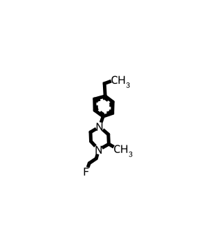 CCc1ccc(N2CCN(CCF)C(C)C2)cc1